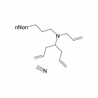 C#N.C=CCC(CC=C)N(CC=C)CCCCCCCCCCCC